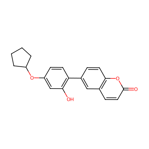 O=c1ccc2cc(-c3ccc(OC4CCCC4)cc3O)ccc2o1